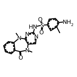 Cc1cc(S(=O)(=O)Nc2ncc3c(n2)N(C)c2ccccc2C(=O)N3C)ccc1N